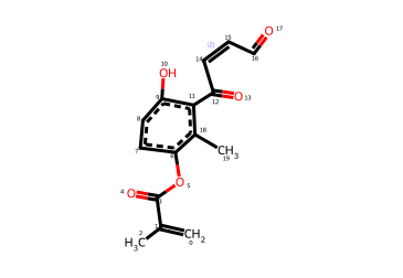 C=C(C)C(=O)Oc1ccc(O)c(C(=O)/C=C\C=O)c1C